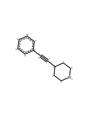 C(#CC1CC[N]CC1)c1ccccc1